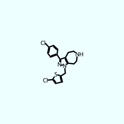 Clc1ccc(-c2nn(Cc3ccc(Cl)s3)c3c2CCNCC3)cc1